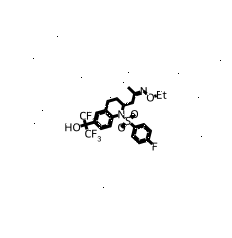 CCO/N=C(/C)CC1CCc2cc(C(O)(C(F)(F)F)C(F)(F)F)ccc2N1S(=O)(=O)c1ccc(F)cc1